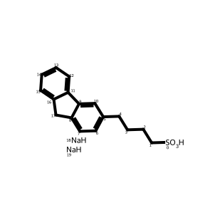 O=S(=O)(O)CCCCc1ccc2c(c1)-c1ccccc1C2.[NaH].[NaH]